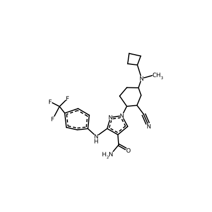 CN(C1CCC1)C1CCC(n2cc(C(N)=O)c(Nc3ccc(C(F)(F)F)cc3)n2)C(C#N)C1